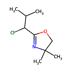 CC(C)C(Cl)C1=NC(C)(C)CO1